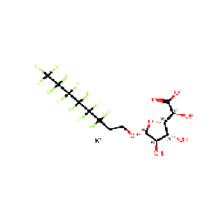 O=C([O-])[C@@H](O)[C@H]1O[C@@H](OCCC(F)(F)C(F)(F)C(F)(F)C(F)(F)C(F)(F)C(F)(F)F)[C@H](O)[C@H]1O.[K+]